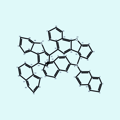 c1ccc2cc(N(c3ccc4ccccc4c3)c3cccc4oc5c6ccccc6c(-c6ccc(-c7cccc8ccccc78)c7c6sc6ccccc67)cc5c34)ccc2c1